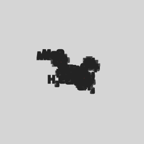 COc1ccc(CN(Cc2ccc(OC)cc2)c2c(F)c(C)c(C(F)(F)F)c(-c3nc4c5c(nc(OC[C@@]67CCCN6C[C@H](F)C7)nc5c3F)N3C[C@H]5CC[C@@H](C3[C@H](C)O4)N5C(=O)OC(C)(C)C)c2F)cc1